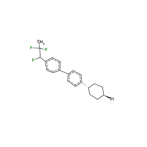 CC[C@H]1CC[C@H](c2ccc(-c3ccc(C(F)C(C)(F)F)cc3)cc2)CC1